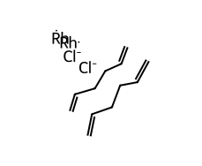 C=CCCC=C.C=CCCC=C.[Cl-].[Cl-].[Rh].[Rh]